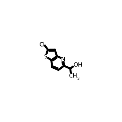 CC(O)c1ccc2sc(Cl)cc2n1